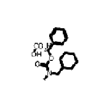 CN(CC1CCCCC1)C(=O)OCc1ccccc1.O=C(O)O